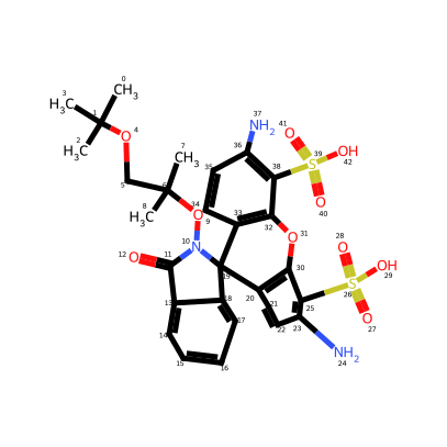 CC(C)(C)OCC(C)(C)ON1C(=O)c2ccccc2C12c1ccc(N)c(S(=O)(=O)O)c1Oc1c2ccc(N)c1S(=O)(=O)O